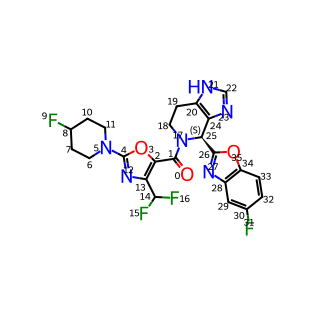 O=C(c1oc(N2CCC(F)CC2)nc1C(F)F)N1CCc2[nH]cnc2[C@H]1c1nc2cc(F)ccc2o1